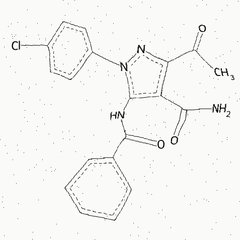 CC(=O)c1nn(-c2ccc(Cl)cc2)c(NC(=O)c2ccccc2)c1C(N)=O